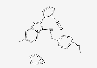 C#Cc1ccsc1-c1nc2cc(C)ccn2c1NCc1ccc(OC)cc1.c1cc2cc-2c1